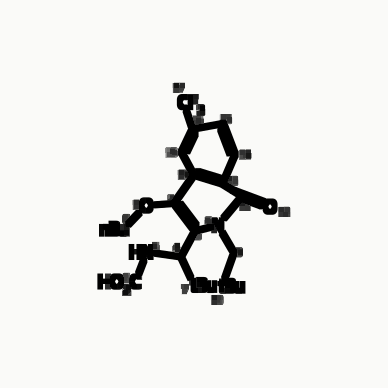 CCCCOc1c(C(NC(=O)O)C(C)(C)C)n(CC(C)(C)C)c(=O)c2ccc(C(F)(F)F)cc12